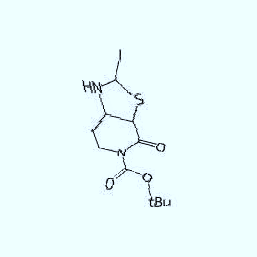 CC(C)(C)OC(=O)N1CCC2NC(I)SC2C1=O